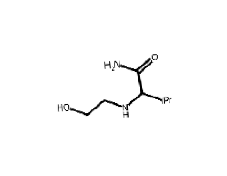 CC(C)C(NCCO)C(N)=O